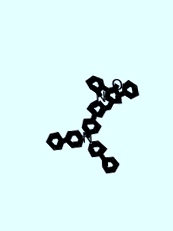 C1=CC(c2ccc(N(c3ccc(-c4ccccc4)cc3)c3ccc(-c4ccc5c(c4)Cc4cc6c7ccccc7oc6c6c7ccccc7n-5c46)cc3)cc2)=CCC1